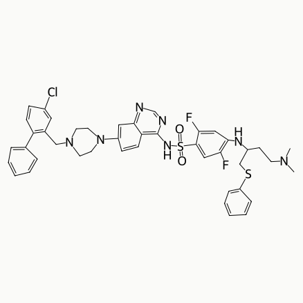 CN(C)CCC(CSc1ccccc1)Nc1cc(F)c(S(=O)(=O)Nc2ncnc3cc(N4CCN(Cc5cc(Cl)ccc5-c5ccccc5)CC4)ccc23)cc1F